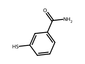 NC(=O)c1cccc(S)c1